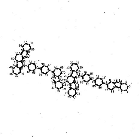 c1ccc2c(c1)oc1cc(-c3ccc(-c4ccc(-n5c6ccccc6c6cc(-c7cccc8sc9c(-c%10ccc(-c%11ccc(-n%12c%13ccccc%13c%13ccc%14c%15ccccc%15oc%14c%13%12)cc%11)cc%10)cccc9c78)c7c8ccccc8oc7c65)cc4)cc3)ccc12